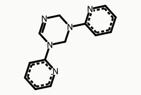 C1=NCN(c2ccccn2)CN1c1ccccn1